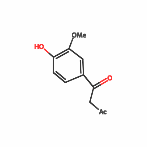 COc1cc(C(=O)CC(C)=O)ccc1O